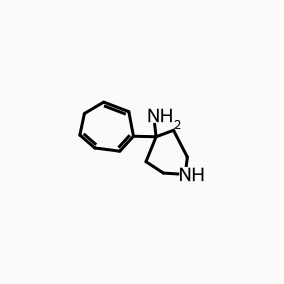 NC1(C2=CC=CCC=C2)CCNCC1